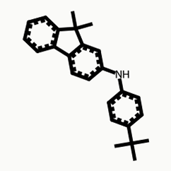 CC(C)(C)c1ccc(Nc2ccc3c(c2)C(C)(C)c2ccccc2-3)cc1